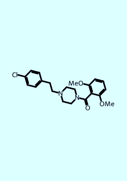 COc1cccc(OC)c1C(=O)N1CCN(CCc2ccc(Cl)cc2)CC1